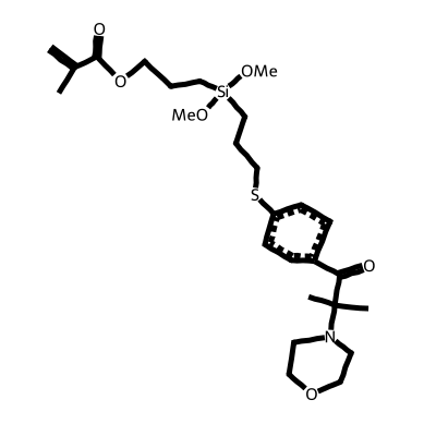 C=C(C)C(=O)OCCC[Si](CCCSc1ccc(C(=O)C(C)(C)N2CCOCC2)cc1)(OC)OC